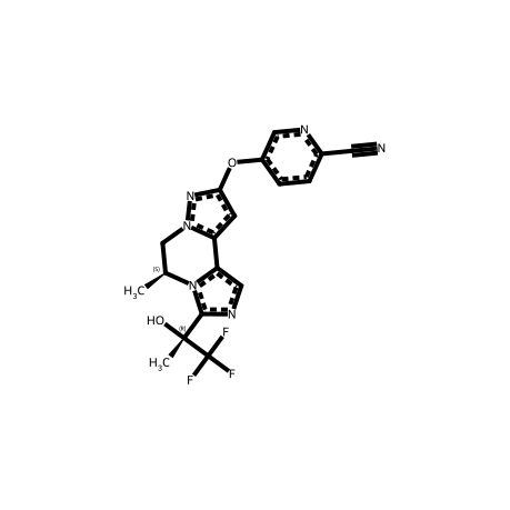 C[C@H]1Cn2nc(Oc3ccc(C#N)nc3)cc2-c2cnc([C@@](C)(O)C(F)(F)F)n21